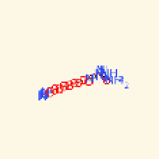 [N-]=[N+]=NCCOCCOCCOCCOCCOCCOCCOCCOCCC(=O)N1CCc2cc(Cn3nc(-c4ccc5oc(N)nc5c4)c4c(N)ncnc43)ccc2C1